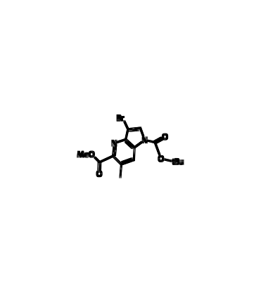 COC(=O)c1nc2c(Br)cn(C(=O)OC(C)(C)C)c2cc1C